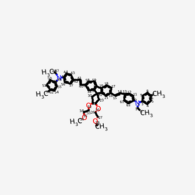 CCN(c1ccc(C)cc1)c1ccc(/C=C/c2ccc3c(c2)C(CCOCCOC)(CCOCCOC)c2cc(/C=C/c4ccc(N(CC)c5ccc(C)cc5)cc4)ccc2-3)cc1